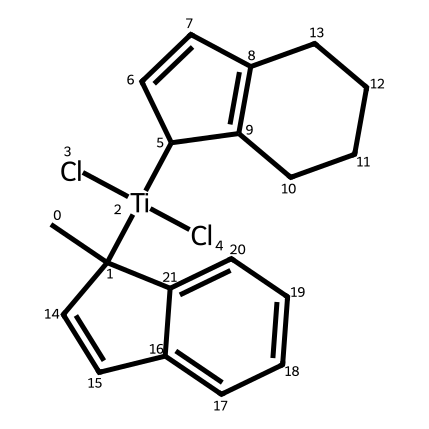 C[C]1([Ti]([Cl])([Cl])[CH]2C=CC3=C2CCCC3)C=Cc2ccccc21